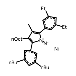 CCCCCCCCC1=C(c2cc(CCCC)cc(CCCC)c2)[N+](=[N-])C(c2cc(CC)cc(CC)c2)=C1C.[Ni]